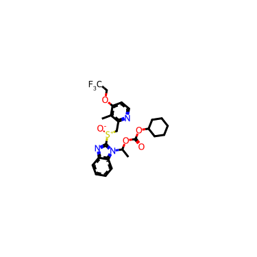 Cc1c(OCC(F)(F)F)ccnc1C[S@@+]([O-])c1nc2ccccc2n1C(C)OC(=O)OC1CCCCC1